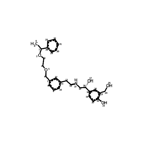 CC(OCCOCc1cccc(CCNC[C@H](O)c2ccc(O)c(CO)c2)c1)c1ccccc1